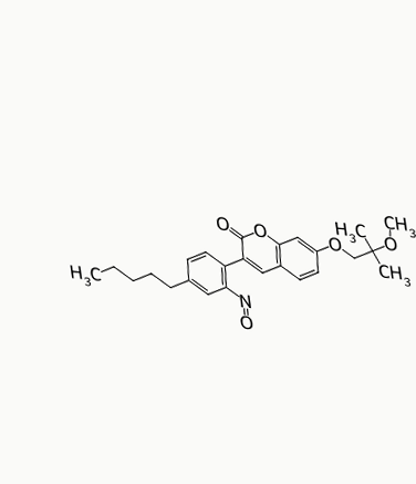 CCCCCc1ccc(-c2cc3ccc(OCC(C)(C)OC)cc3oc2=O)c(N=O)c1